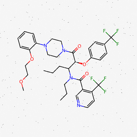 CCCC([C@H](Oc1ccc(C(F)(F)F)cc1)C(=O)N1CCN(c2ccccc2OCCOC)CC1)N(CCC)C(=O)c1cnccc1C(F)(F)F